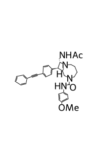 COc1ccc(NC(=O)N2CCCCN3[C@@H](CNC(C)=O)[C@H](c4ccc(C#Cc5ccccc5)cc4)[C@@H]3C2)cc1